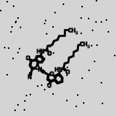 CCCCCCCCC(=O)Nc1ccc2oc(C#N)cc(=O)c2c1.CCCCCCCCC(=O)Nc1cccc2c(=O)cc(C#N)oc12